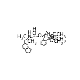 CC(C)(Cc1ccc2ccccc2c1)NC[C@@H](O)CO[C@@H](c1ccccc1CO[Si](C)(C)C(C)(C)C)C1CC1